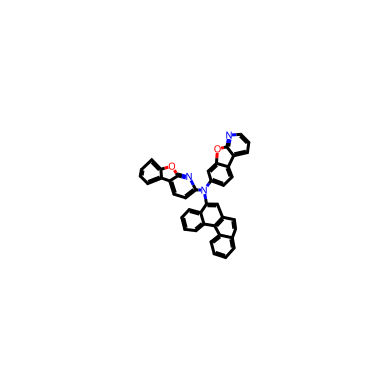 c1ccc2c(c1)ccc1cc(N(c3ccc4c(c3)oc3ncccc34)c3ccc4c(n3)oc3ccccc34)c3ccccc3c12